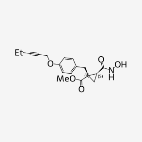 CCC#CCOc1ccc(C[C@]2(C(=O)OC)C[C@@H]2C(=O)NO)cc1